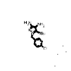 CC(C)(C)c1c(N)c(N)nn1Cc1ccc(Cl)cc1